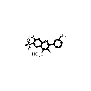 Cc1c(-c2cccc(C(F)(F)F)c2)nc2cc(O)c(S(C)(=O)=O)cc2c1C(=O)O